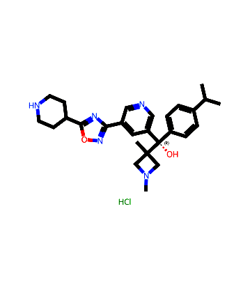 CC(C)c1ccc([C@](O)(c2cncc(-c3noc(C4CCNCC4)n3)c2)C2(C)CN(C)C2)cc1.Cl